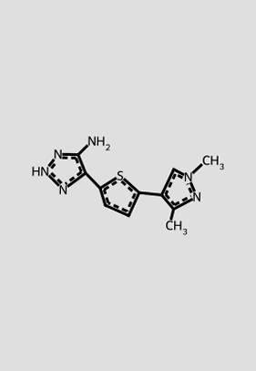 Cc1nn(C)cc1-c1ccc(-c2n[nH]nc2N)s1